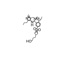 CCCc1nn(C)c2c1NC(c1cc(S(=O)(=O)N3CC(CCCO)C3)ccc1OCC)=[N+]([O-])C2